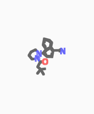 CC(C)(C)CC(=O)N1CCCCN1c1ccc(C#N)c2ccccc12